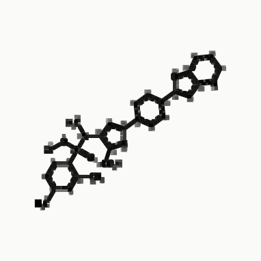 CCOP(=O)(c1ccc(C)cc1C)N(C)c1cc(-c2ccc(-c3cc4ncccc4o3)cc2)sc1C(=O)O